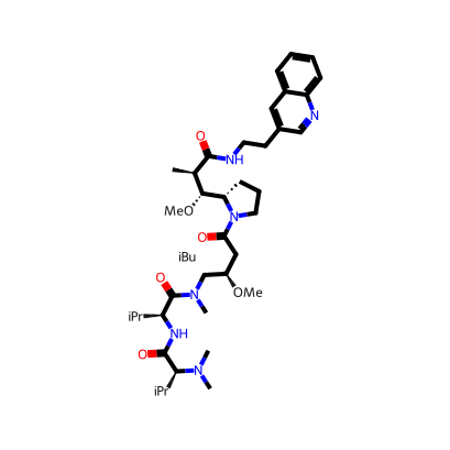 CC[C@H](C)C([C@@H](CC(=O)N1CCC[C@H]1[C@H](OC)[C@@H](C)C(=O)NCCc1cnc2ccccc2c1)OC)N(C)C(=O)[C@@H](NC(=O)[C@H](C(C)C)N(C)C)C(C)C